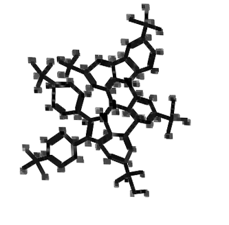 CCC(C)(C)c1cc2c3c(c1)c(-c1ccc(C(C)(C)C)cc1)c(-c1ccc(C(C)(C)C)cc1)n3B1c3c-2cc(C(C)(C)C)cc3-n2c3ccc(C(C)(C)C)cc3c3cc(C(C)(C)C)cc1c32